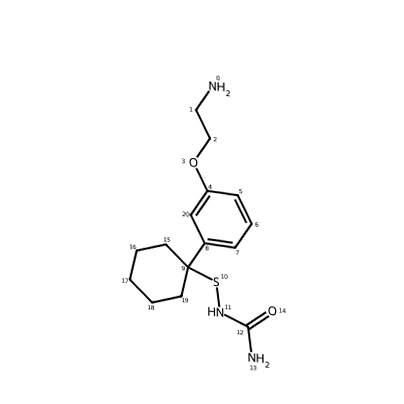 NCCOc1cccc(C2(SNC(N)=O)CCCCC2)c1